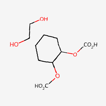 O=C(O)OC1CCCCC1OC(=O)O.OCCO